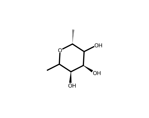 CC1O[C@H](C)C(O)[C@@H](O)[C@H]1O